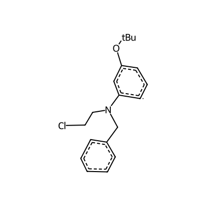 CC(C)(C)Oc1cc[c]c(N(CCCl)Cc2ccccc2)c1